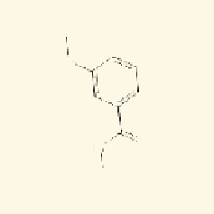 COc1cccc(C(=O)NF)c1